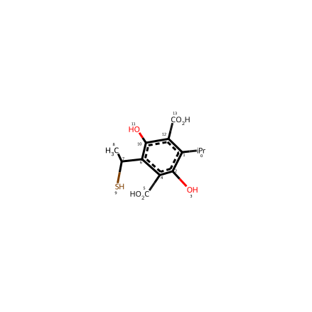 CC(C)c1c(O)c(C(=O)O)c(C(C)S)c(O)c1C(=O)O